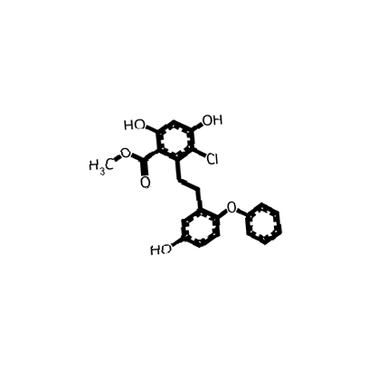 COC(=O)c1c(O)cc(O)c(Cl)c1CCc1cc(O)ccc1Oc1ccccc1